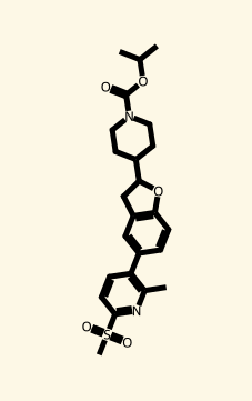 Cc1nc(S(C)(=O)=O)ccc1-c1ccc2c(c1)CC(C1CCN(C(=O)OC(C)C)CC1)O2